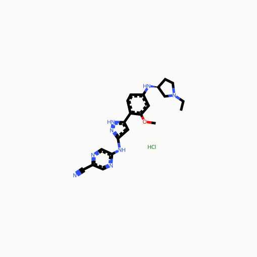 CCN1CC[C@H](Nc2ccc(-c3cc(Nc4cnc(C#N)cn4)n[nH]3)c(OC)c2)C1.Cl